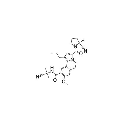 CCCc1cc(C(=O)N2CCC[C@]2(C)C#N)n2c1-c1cc(C(=O)NC(C)(C)C#N)c(OC)cc1CC2